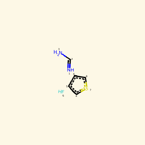 F.N=CN.c1ccsc1